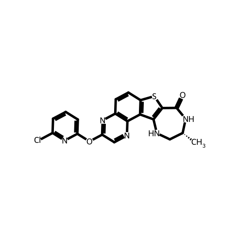 C[C@@H]1CNc2c(sc3ccc4nc(Oc5cccc(Cl)n5)cnc4c23)C(=O)N1